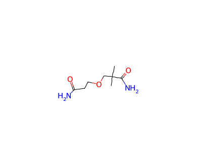 CC(C)(COCCC(N)=O)C(N)=O